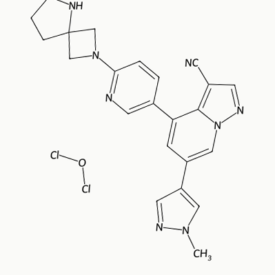 ClOCl.Cn1cc(-c2cc(-c3ccc(N4CC5(CCCN5)C4)nc3)c3c(C#N)cnn3c2)cn1